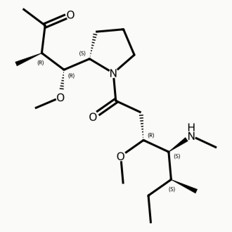 CC[C@H](C)[C@H](NC)[C@@H](CC(=O)N1CCC[C@H]1[C@H](OC)[C@@H](C)C(C)=O)OC